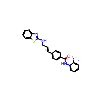 Nc1ccccc1NC(=O)c1ccc(/C=C/CNc2nc3ccccc3s2)cc1